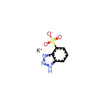 O=S(=O)([O-])c1cccc2[nH]nnc12.[K+]